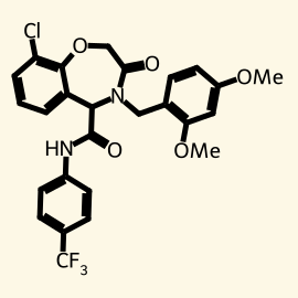 COc1ccc(CN2C(=O)COc3c(Cl)cccc3C2C(=O)Nc2ccc(C(F)(F)F)cc2)c(OC)c1